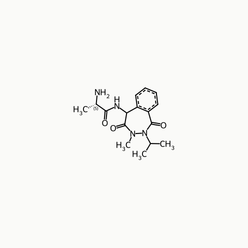 CC(C)N1C(=O)c2ccccc2C(NC(=O)[C@H](C)N)C(=O)N1C